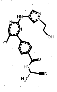 C[C@@H](C#N)NC(=O)c1ccc(-c2nc(Nc3cnn(CCO)c3)ncc2Cl)cc1